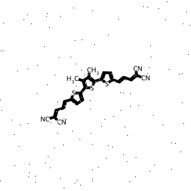 Cc1c(-c2ccc(/C=C/C=C(C#N)C#N)s2)sc(-c2ccc(/C=C/C=C(C#N)C#N)s2)c1C